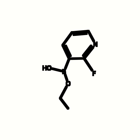 CCOB(O)c1cccnc1F